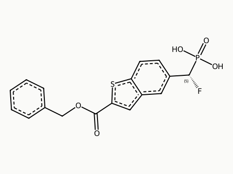 O=C(OCc1ccccc1)c1cc2cc([C@@H](F)P(=O)(O)O)ccc2s1